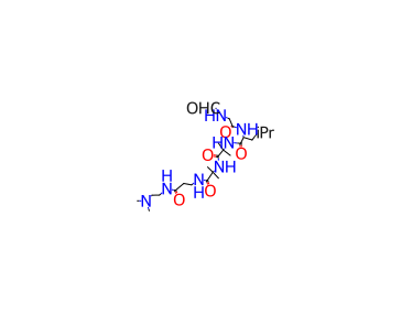 CC(C)CC(NC(=O)CNC=O)C(=O)NC(C)(C)C(=O)NC(C)(C)C(=O)NCCC(=O)NCCN(C)C